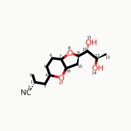 C[C@@H](C#N)CC1CCC2O[C@@H]([C@H](O)[C@@H](C)O)CC2O1